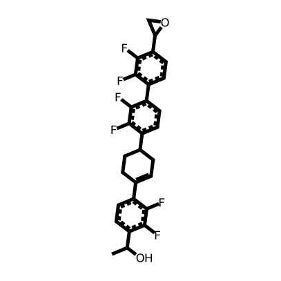 CC(O)c1ccc(C2=CCC(c3ccc(-c4ccc(C5CO5)c(F)c4F)c(F)c3F)CC2)c(F)c1F